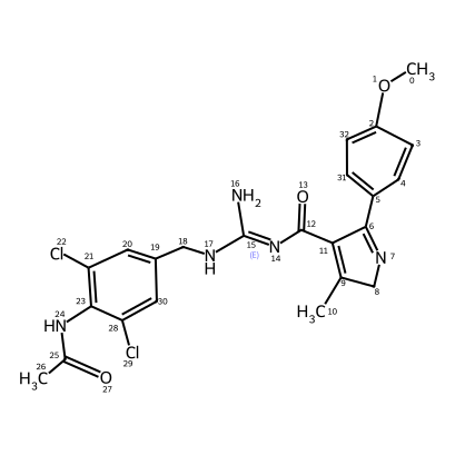 COc1ccc(C2=NCC(C)=C2C(=O)/N=C(\N)NCc2cc(Cl)c(NC(C)=O)c(Cl)c2)cc1